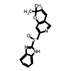 CC1(C)C=Cc2cnc(C[S+]([O-])c3nc4ccccc4[nH]3)cc2O1